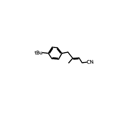 C/C(=C\CC#N)Cc1ccc(C(C)(C)C)cc1